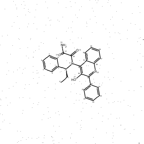 CC[C@@H](c1ccccc1)N(C(=O)C(N)=O)c1c(O)c(-c2ccccc2)nc2ccccc12